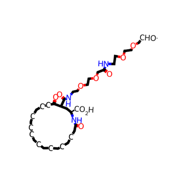 O=[C]COCCOCCNC(=O)COCCOCCNC(=O)C1C[C@@H](C(=O)O)NC(=O)CCCCCCCCCCCCCCCCC1=O